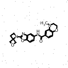 CN1CCOc2ccc(C(=O)Nc3ccc4oc(N5CCC56COC6)nc4c3)cc21